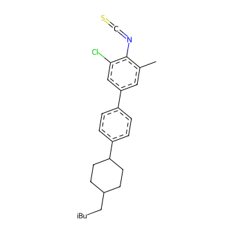 CCC(C)CC1CCC(c2ccc(-c3cc(C)c(N=C=S)c(Cl)c3)cc2)CC1